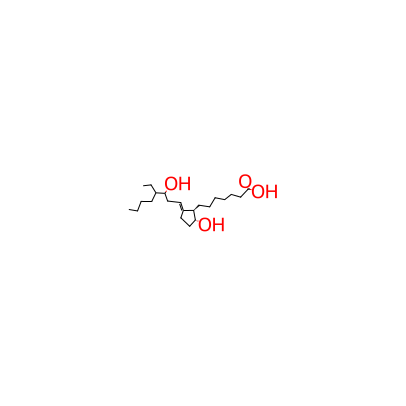 CCCCC(CC)C(O)CC=C1CC[C@@H](O)[C@@H]1CCCCCCC(=O)O